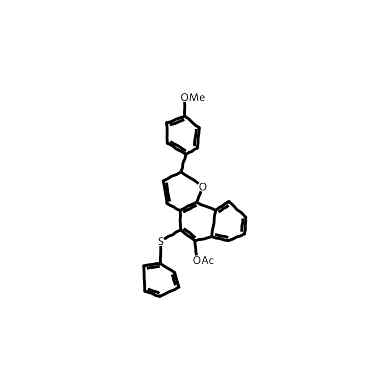 COc1ccc(C2C=Cc3c(Sc4ccccc4)c(OC(C)=O)c4ccccc4c3O2)cc1